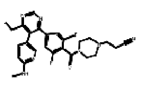 CCc1ncnc(-c2cc(F)c(C(=O)N3CCN(CCC#N)CC3)c(F)c2)c1-c1ccc(NC)nc1